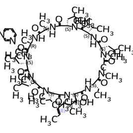 C/C=C/C[C@@H](C)[C@@H](O)[C@H]1C(=O)N[C@@H](CC)C(=O)N(C)CC(=O)N(C)[C@@H](CC(C)C)C(=O)N[C@@H](C(C)C)C(=O)N(C)[C@@H](CC(C)C)C(=O)N[C@@H](C)C(=O)N[C@H](C)C(=O)N(C)[C@@H](CC(C)C)C(=O)N(C)[C@@H](CC(C)C)C(=O)N(C)[C@@H](C(C)C)C(=O)N1C.c1cncnc1